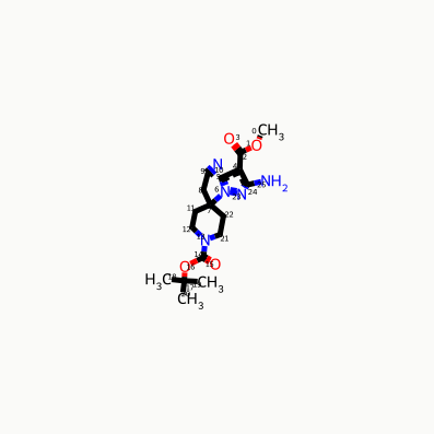 COC(=O)c1cn(C2(CC#N)CCN(C(=O)OC(C)(C)C)CC2)nc1N